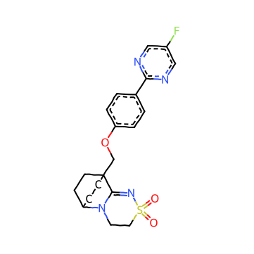 O=S1(=O)CCN2C(=N1)C1(COc3ccc(-c4ncc(F)cn4)cc3)CCC2CC1